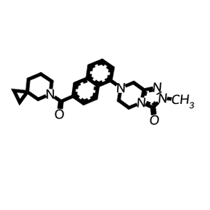 Cn1nc2n(c1=O)CCN(c1cccc3cc(C(=O)N4CCCC5(CC5)C4)ccc13)C2